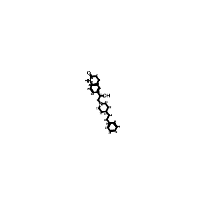 O=C1CCc2cc(C(O)CN3CCC(CCc4ccccc4)CC3)ccc2N1